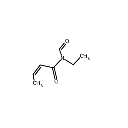 C/C=C\C(=O)N(C=O)CC